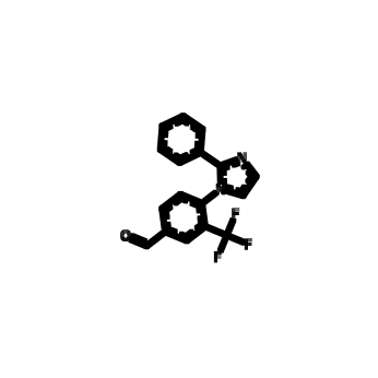 O=Cc1ccc(-n2ccnc2-c2ccccc2)c(C(F)(F)F)c1